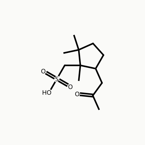 CC(=O)CC1CCC(C)(C)C1(C)CS(=O)(=O)O